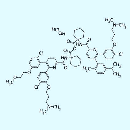 COCCOc1ccc(Cl)c(-c2ccc(C(=O)NC3(C(=O)OC(=O)C4(NC(=O)c5ccc(-c6cc(C(C)C)ccc6C)c(-c6ccc(Cl)c(OCCCN(C)C)c6)n5)CCCCC4)CCCCC3)nc2-c2ccc(Cl)c(OCCCN(C)C)c2)c1.Cl.Cl